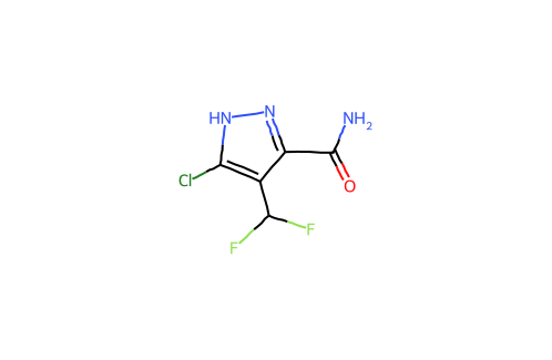 NC(=O)c1n[nH]c(Cl)c1C(F)F